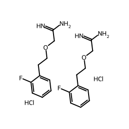 Cl.Cl.N=C(N)COCCc1ccccc1F.N=C(N)COCCc1ccccc1F